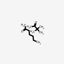 CC(=O)C(C)(C)C.CCCCCC(C)=O